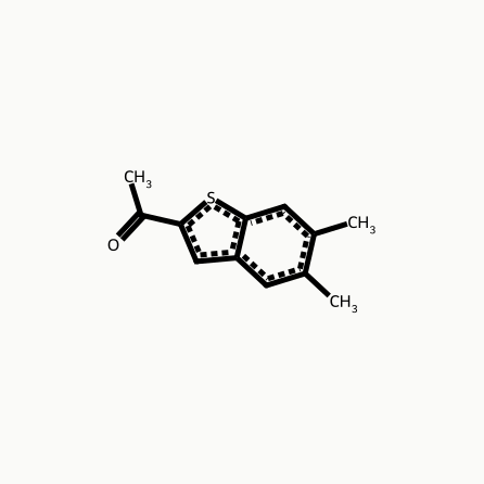 CC(=O)c1cc2cc(C)c(C)cc2s1